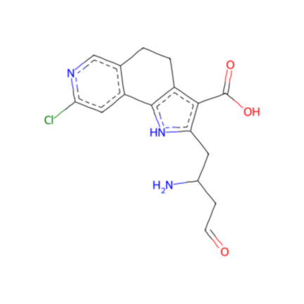 NC(CC=O)Cc1[nH]c2c(c1C(=O)O)CCc1cnc(Cl)cc1-2